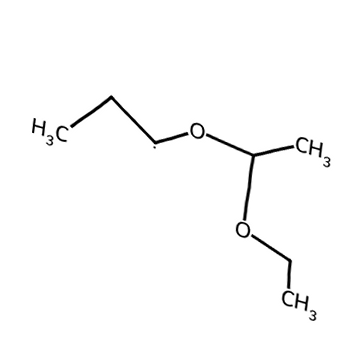 CC[CH]OC(C)OCC